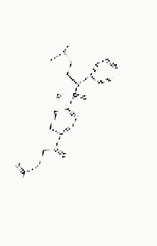 CC(=O)SCC(=O)c1ccc(S(=O)(=O)N(CCN(C)C)c2ccncc2)cc1